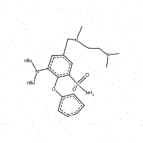 CCCCN(CCCC)c1cc(CN(C)CCN(C)C)cc(S(N)(=O)=O)c1Oc1ccccc1